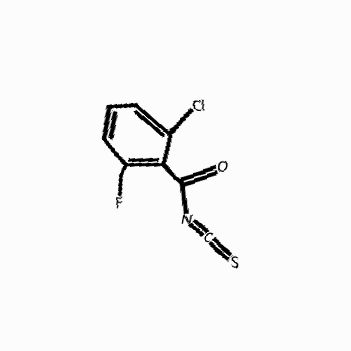 O=C(N=C=S)c1c(F)cccc1Cl